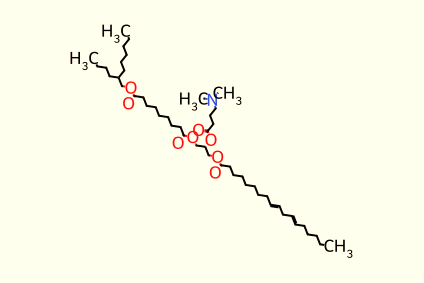 CCCCC/C=C/C/C=C/CCCCCCCC(=O)OCC(COC(=O)CCCCCCCC(=O)OCC(CCCC)CCCCCC)OC(=O)CCCN(C)C